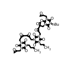 C=CCCn1c(=O)n(CC2CO2)c(=O)n(CC2OC2C2OC2Cn2c(=O)n(CC=C)c(=O)n(CC3OC3C3(Cn4c(=O)n(CCCC)c(=O)n(CC5CO5)c4=O)CO3)c2=O)c1=O